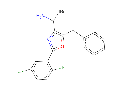 CC(C)(C)C(N)c1nc(-c2cc(F)ccc2F)oc1Cc1ccccc1